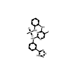 CS(=O)(=O)Nc1ccccc1Nc1nc(Nc2cccc(-c3nnn[nH]3)c2)ncc1F